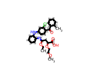 CCOC(CC(OCCOC)C(=O)O)=Nc1ccccc1Nc1ccc(C(=O)c2ccccc2C)c(Cl)c1